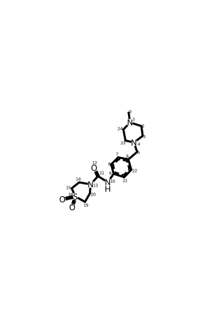 CN1CCN(Cc2ccc(NC(=O)N3CCS(=O)(=O)CC3)cc2)CC1